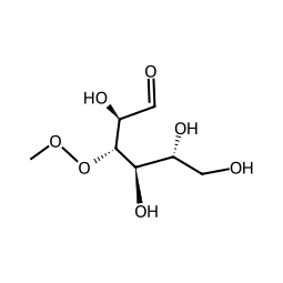 COO[C@@H]([C@H](O)[C@H](O)CO)[C@@H](O)C=O